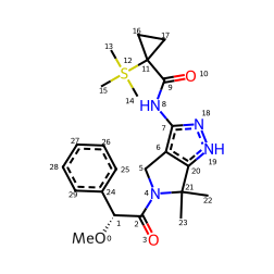 CO[C@@H](C(=O)N1Cc2c(NC(=O)C3(S(C)(C)C)CC3)n[nH]c2C1(C)C)c1ccccc1